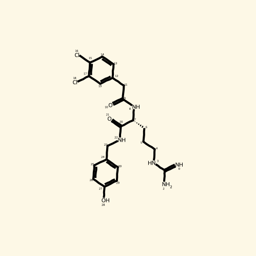 N=C(N)NCCC[C@@H](NC(=O)Cc1ccc(Cl)c(Cl)c1)C(=O)NCc1ccc(O)cc1